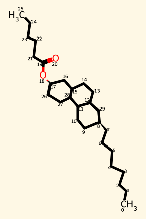 CCCCCCCC[C@H]1CCC2C(CCC3C[C@@H](OC(=O)CCCCC)CCC32)C1